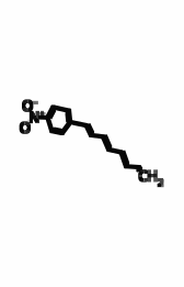 C=C/C=C/C=C/C=C/c1ccc([N+](=O)[O-])cc1